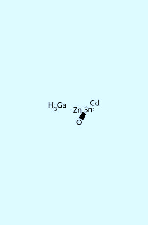 [Cd].[GaH3].[O]=[Sn].[Zn]